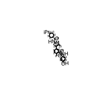 Cc1ccc(-c2sc(NC(=O)[C@H]3CC[C@H](C(C)C)CC3)nc2C)cc1S(=O)(=O)Nc1ccc(O)cc1